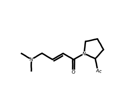 CC(=O)C1CCCN1C(=O)/C=C/CN(C)C